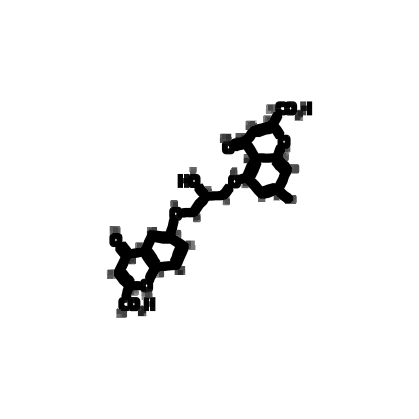 Cc1cc(OCC(O)COc2ccc3oc(C(=O)O)cc(=O)c3c2)c2c(=O)cc(C(=O)O)oc2c1